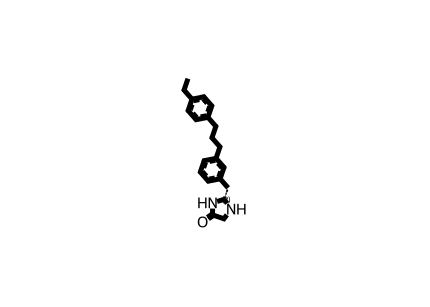 CCc1ccc(CCCc2cccc(C[C@@H]3NCC(=O)N3)c2)cc1